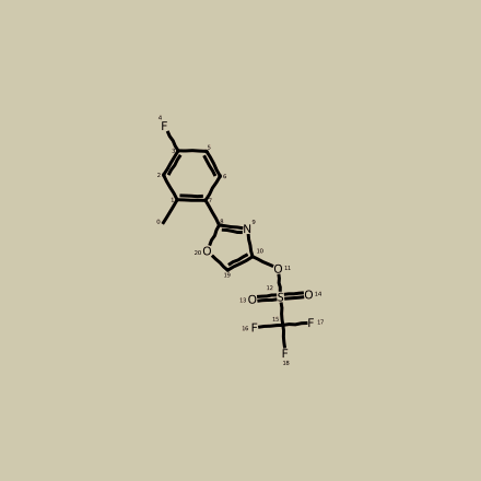 Cc1cc(F)ccc1-c1nc(OS(=O)(=O)C(F)(F)F)co1